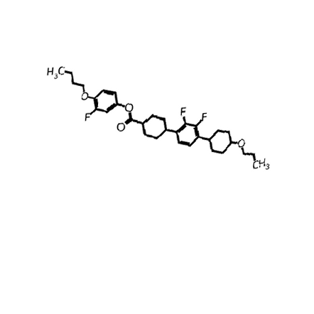 CCCCOc1ccc(OC(=O)C2CCC(c3ccc(C4CCC(OCCC)CC4)c(F)c3F)CC2)cc1F